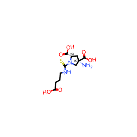 N[C@@]1(C(=O)O)C[C@@H](C(=O)O)N(C(=S)NCCCC(=O)O)C1